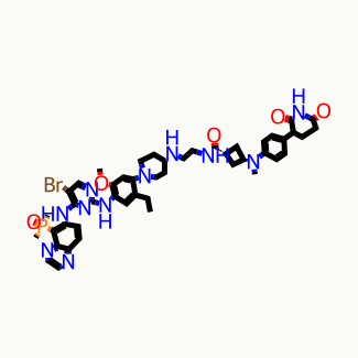 CCc1cc(Nc2ncc(Br)c(Nc3ccc4nccnc4c3P(C)(C)=O)n2)c(OC)cc1N1CCC(NCCNC(=O)[C@H]2C[C@H](N(C)c3ccc(C4CCC(=O)NC4=O)cc3)C2)CC1